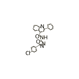 O=C(Nc1nnc(-c2ccc(Cl)cc2)o1)c1cc(-c2ccccc2)nc2ccccc12